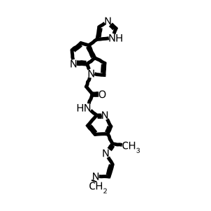 C=N/C=C\N=C(/C)c1ccc(NC(=O)Cn2ccc3c(-c4cnc[nH]4)ccnc32)nc1